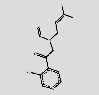 CC(C)=CCN(C=O)CC(=O)c1ccncc1Cl